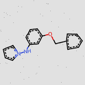 c1ccc(COc2cccc(Nn3cccc3)c2)cc1